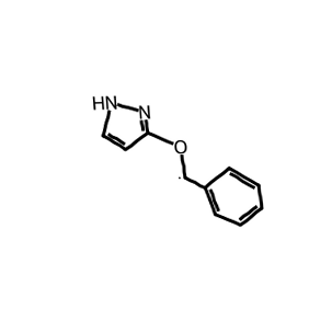 [CH](Oc1cc[nH]n1)c1ccccc1